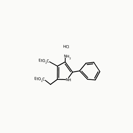 CCOC(=O)Cc1[nH]c(-c2ccccc2)c(N)c1C(=O)OCC.Cl